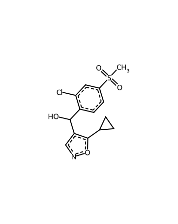 CS(=O)(=O)c1ccc(C(O)c2cnoc2C2CC2)c(Cl)c1